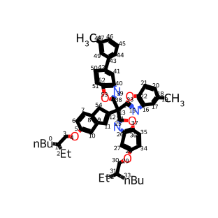 CCCCC(CC)COc1ccc2c(c1)C=C(C(c1nc3cc(C)ccc3o1)(c1nc3cc(OCC(CC)CCCC)ccc3o1)c1nc3cc(-c4cccc(C)c4)ccc3o1)C2